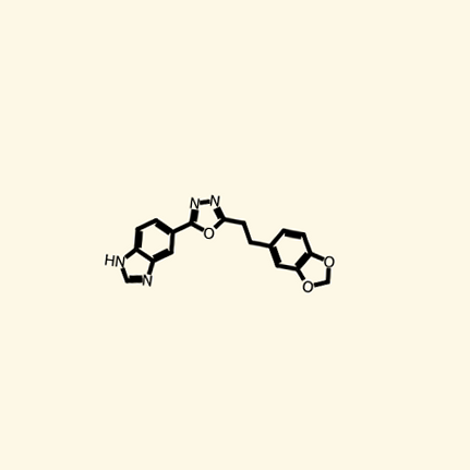 c1nc2cc(-c3nnc(CCc4ccc5c(c4)OCO5)o3)ccc2[nH]1